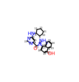 NN(C(=O)c1cc(NC2CCCCC2)ncn1)c1ccc(O)c2ccccc12